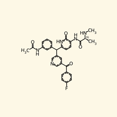 CN[C@@H](C)C(=O)Nc1ccc(C(c2cccc(NC(C)=O)c2)c2cncc(C(=O)c3ccc(F)cc3)c2)[nH]c1=O